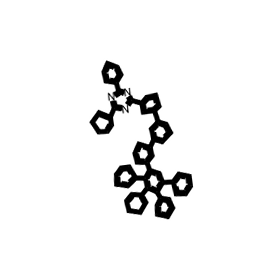 C1=CC(c2nc(-c3ccccc3)nc(-c3cccc(-c4cccc(-c5cccc(-c6cc(-c7ccccc7)c(-c7ccccc7)c(C7=CCCC=C7)c6-c6ccccc6)c5)c4)c3)n2)=CCC1